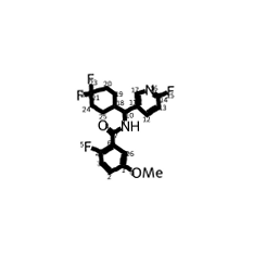 COc1ccc(F)c(C(=O)NC(c2ccc(F)nc2)C2CCC(F)(F)CC2)c1